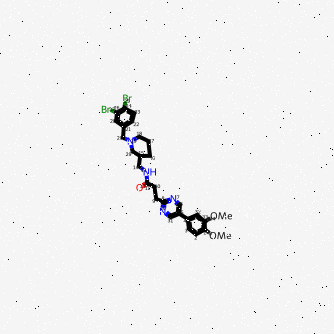 COc1ccc(-c2cnc(CCC(=O)NCC3CCCN(Cc4ccc(Br)c(Br)c4)C3)nc2)cc1OC